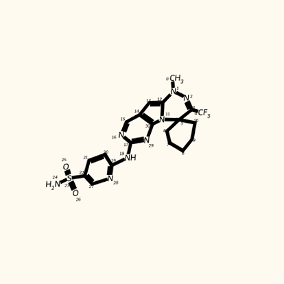 CN1N=C(C(F)(F)F)C2(CCCCC2)n2c1cc1cnc(Nc3ccc(S(N)(=O)=O)cn3)nc12